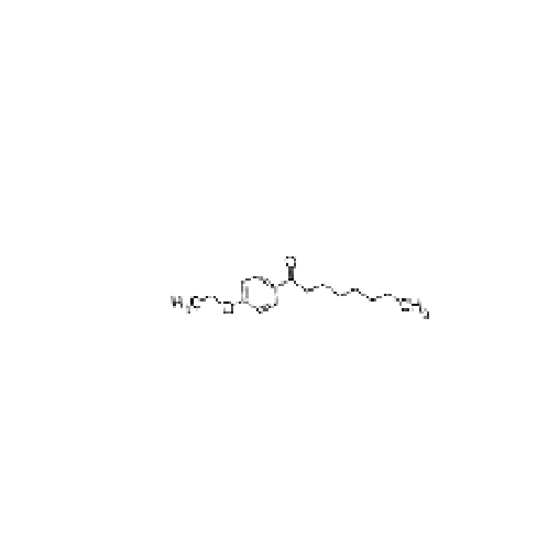 CCCCCCCC(=O)c1ccc(OCC)cc1